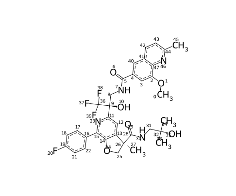 COc1cc(C(=O)NC[C@](O)(c2cc3c(c(-c4ccc(F)cc4)n2)OC[C@]3(C)C(=O)NCC(C)(C)O)C(F)(F)F)cc2ccc(C)nc12